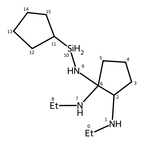 CCNC1CCCC1(NCC)N[SiH2]C1CCCC1